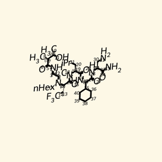 CCCCCCN(CCNC(=O)[C@@H](C)[C@H](C)O)[C@@H](CC(F)(F)F)C(=O)N(C)[C@@H](CC(C)C)C(=O)N[C@H](C(=O)N[C@@H](CN)C(N)=O)C1CCCCC1